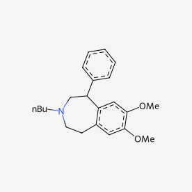 CCCCN1CCc2cc(OC)c(OC)cc2C(c2ccccc2)C1